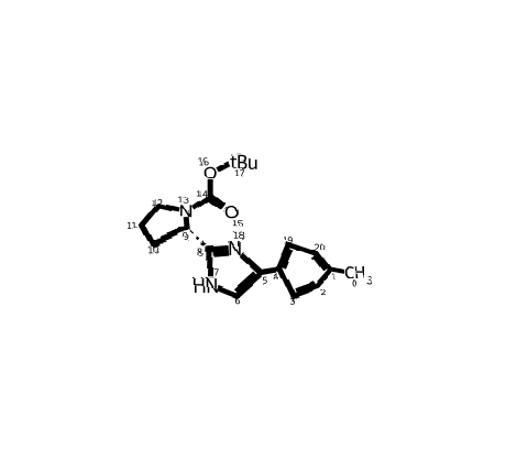 Cc1ccc(-c2c[nH]c([C@@H]3CCCN3C(=O)OC(C)(C)C)n2)cc1